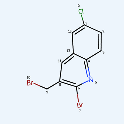 Clc1ccc2nc(Br)c(CBr)cc2c1